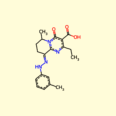 CCc1nc2n(c(=O)c1C(=O)O)C(C)CCC2=NNc1cccc(C)c1